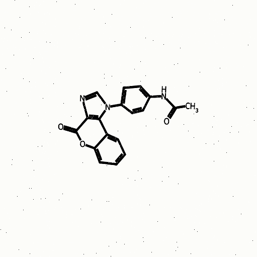 CC(=O)Nc1ccc(-n2cnc3c(=O)oc4ccccc4c32)cc1